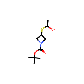 CC(O)SC1CN(C(=O)OC(C)(C)C)C1